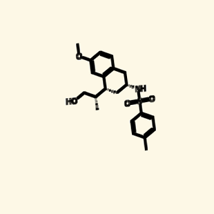 COc1ccc2c(c1)[C@@H]([C@H](C)CO)C[C@@H](NS(=O)(=O)c1ccc(C)cc1)C2